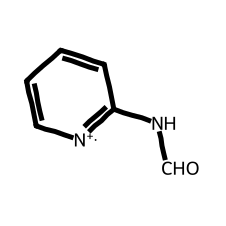 O=CNC1=[N+]C=CC=C1